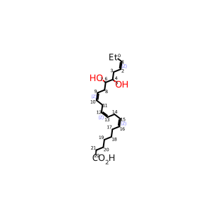 CC/C=C\CC(O)C(O)C/C=C\C/C=C\C/C=C\CCCCCC(=O)O